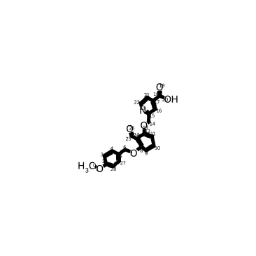 COc1ccc(COc2cccc(OCc3cc(C(=O)O)ccn3)c2C=O)cc1